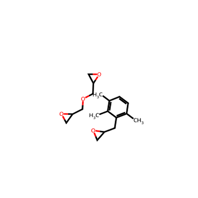 C(OCC1CO1)C1CO1.Cc1ccc(C)c(CC2CO2)c1C